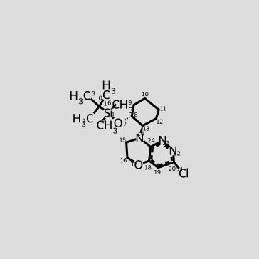 CC(C)(C)[Si](C)(C)O[C@@H]1CCCC[C@H]1N1CCOc2cc(Cl)nnc21